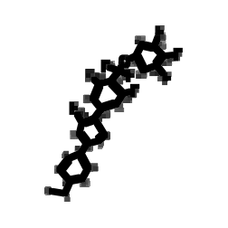 CCc1ccc(-c2ccc(-c3cc(F)c(C(F)(F)Oc4cc(F)c(F)c(F)c4)c(F)c3)c(F)c2)cc1